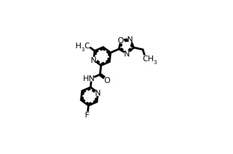 CCc1noc(-c2cc(C)nc(C(=O)Nc3ccc(F)cn3)c2)n1